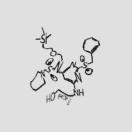 C[C@H](CO)Nc1cc(N(COCC[Si](C)(C)C)S(=O)(=O)N2CCCC2)nc(S(=O)(=O)Cc2ccccc2)n1